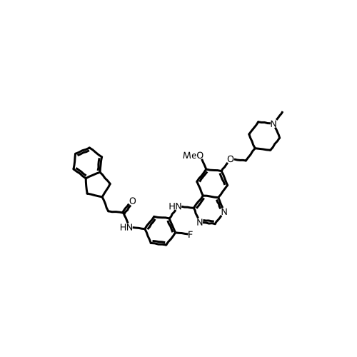 COc1cc2c(Nc3cc(NC(=O)CC4Cc5ccccc5C4)ccc3F)ncnc2cc1OCC1CCN(C)CC1